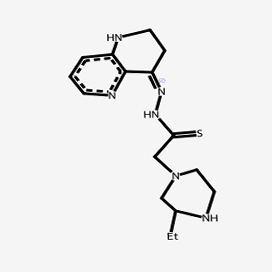 CCC1CN(CC(=S)N/N=C2/CCNc3cccnc32)CCN1